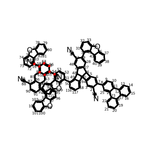 N#Cc1cc2c(cc1-c1ccc3c4ccccc4c4ccccc4c3c1)C1c3cc(-c4cccc5oc6ccccc6c45)c(C#N)cc3C3c4c(-c5ccc(-c6ccc(C#N)c7c6C6c8c(C#N)ccc(-c9cccc%10oc%11ccccc%11c9%10)c8C7c7c(C#N)ccc(-c8cccc9oc%10ccccc%10c89)c76)c6c5oc5ccccc56)cccc4C213